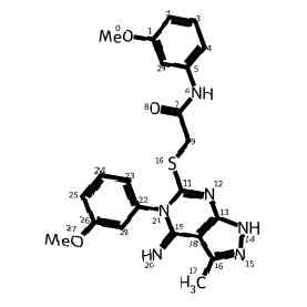 COc1cccc(NC(=O)CSc2nc3[nH]nc(C)c3c(=N)n2-c2cccc(OC)c2)c1